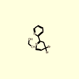 BrC1(Br)C=CN=C(c2ccccn2)C1.CCO